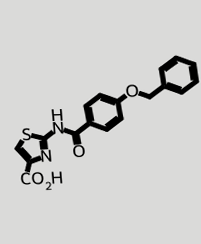 O=C(Nc1nc(C(=O)O)cs1)c1ccc(OCc2ccccc2)cc1